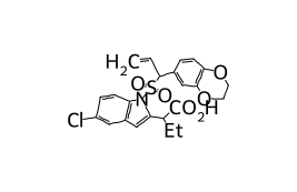 C=CC(c1ccc2c(c1)OCCO2)S(=O)(=O)n1c(C(CC)C(=O)O)cc2cc(Cl)ccc21